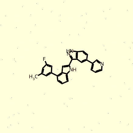 Cc1cc(F)cc(-c2cccc3[nH]c(-c4n[nH]c5ccc(-c6cccnc6)cc45)cc23)c1